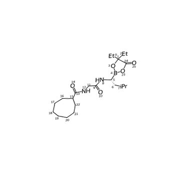 CCC1(CC)OB([C@H](CC(C)C)NC(=O)CNC(=O)C2CCCCCCC2)OC1=O